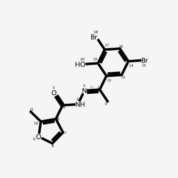 C/C(=N\NC(=O)c1ccoc1C)c1cc(Br)cc(Br)c1O